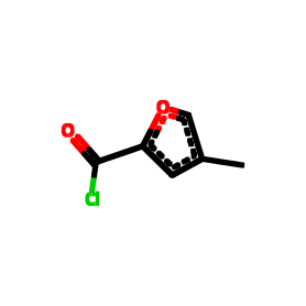 Cc1coc(C(=O)Cl)c1